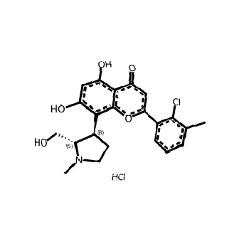 Cc1cccc(-c2cc(=O)c3c(O)cc(O)c([C@H]4CCN(C)[C@@H]4CO)c3o2)c1Cl.Cl